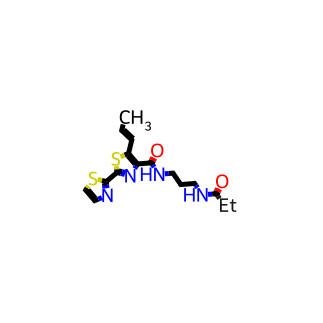 C/C=C/c1sc(-c2nccs2)nc1C(=O)NCCCNC(=O)CC